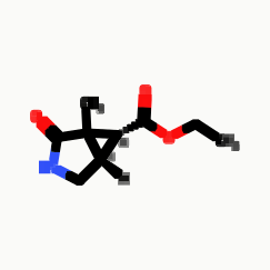 CCOC(=O)[C@@H]1[C@@H]2CNC(=O)C12C